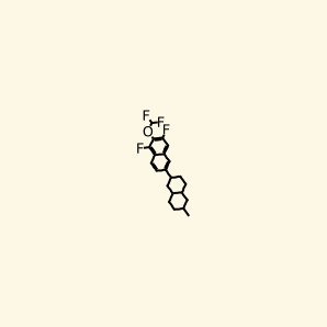 CC1CCC2CC(c3ccc4c(F)c(OC(F)F)c(F)cc4c3)CCC2C1